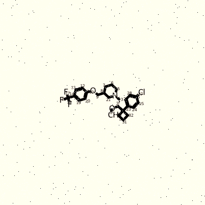 CO[C@H](CN1CCCC(COc2ccc(C(F)(F)F)cc2)C1)C1(c2ccc(Cl)cc2)CCC1